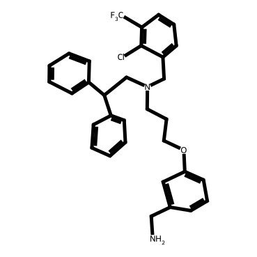 NCc1cccc(OCCCN(Cc2cccc(C(F)(F)F)c2Cl)CC(c2ccccc2)c2ccccc2)c1